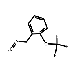 C=NCc1ccccc1OC(F)(F)F